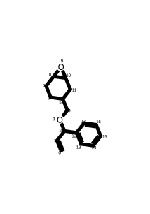 C=CC(OCC1CCC2OC2C1)c1ccccc1